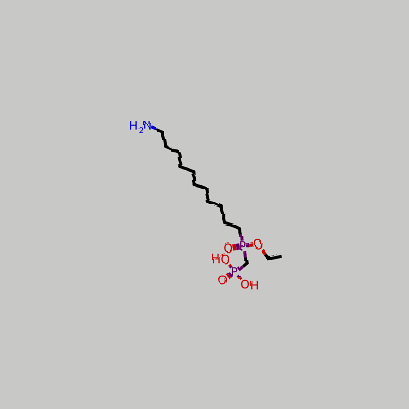 CCOP(=O)(CCCCCCCCCCCN)CP(=O)(O)O